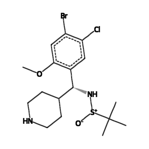 COc1cc(Br)c(Cl)cc1[C@H](N[S+]([O-])C(C)(C)C)C1CCNCC1